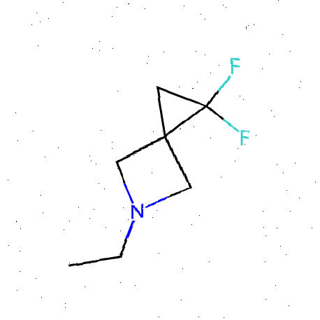 CCN1CC2(C1)CC2(F)F